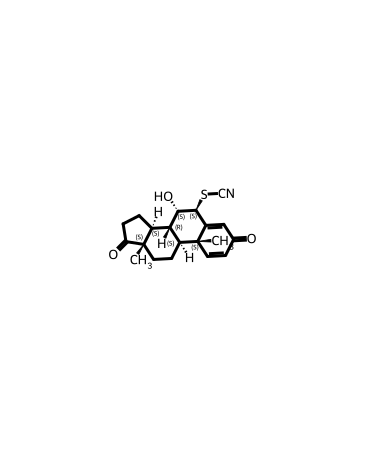 C[C@]12C=CC(=O)C=C1[C@H](SC#N)[C@@H](O)[C@@H]1[C@@H]2CC[C@]2(C)C(=O)CC[C@@H]12